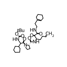 C=CCCC(NC(=O)[C@@H]1CCCN1C(=O)C(NC(=O)OC(C)(C)C)C1CCCCC1)C(=O)C(=O)NCCC1=CCCCC1